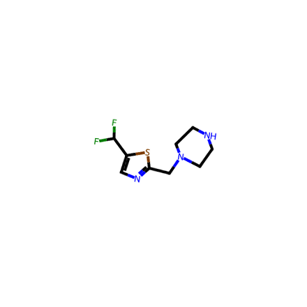 FC(F)c1cnc(CN2CCNCC2)s1